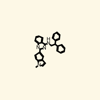 Cn1ccc2cc(-c3nc(NCC(c4ccccc4)c4ccccc4)c4ccccc4n3)ccc21